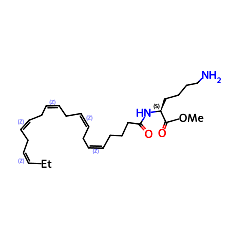 CC/C=C\C/C=C\C/C=C\C/C=C\C/C=C\CCCC(=O)N[C@@H](CCCCN)C(=O)OC